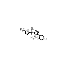 Cn1c(C2CCNCC2)nnc1C(C)(C)c1ccc(C(F)(F)F)s1